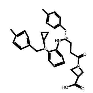 Cc1ccc(C[C@H](CCC(=O)N2CC(C(=O)O)C2)Nc2ccccc2N(Cc2ccc(C)cc2)C2CC2)cc1